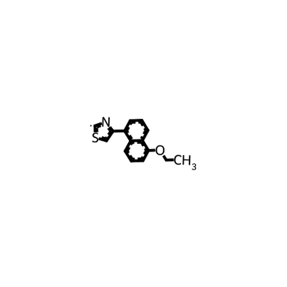 CCOc1cccc2c(-c3cs[c]n3)cccc12